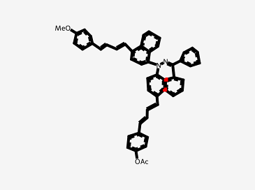 COc1ccc(/C=C/C=C/c2ccc(N(N=C(c3ccccc3)c3ccccc3)c3ccc(/C=C/C=C/c4ccc(OC(C)=O)cc4)cc3)c3ccccc23)cc1